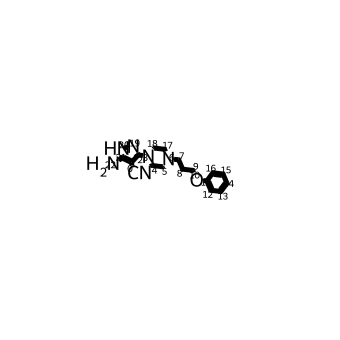 N#Cc1c(N2CCN(CCCOc3ccccc3)CC2)n[nH]c1N